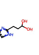 OC(O)CCc1ncc[nH]1